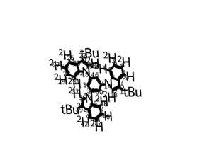 [2H]c1c([2H])c([2H])c2c(c1[2H])c(C(C)(C)C)c([2H])n2-c1cc(-n2c([2H])c(C(C)(C)C)c3c([2H])c([2H])c([2H])c([2H])c32)cc(-n2c([2H])c(C(C)(C)C)c3c([2H])c([2H])c([2H])c([2H])c32)c1